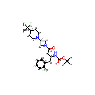 CC(C)(C)OC(=O)NC(CC(=O)N1CC(N2CCC(C(F)(F)F)CC2)C1)Cc1ccccc1F